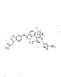 Cc1nc(-c2cc(C)c(-c3c(C(F)(F)F)ccc4c3CC[C@H]4Oc3ccc4c(c3)OCC4CC(=O)O)c(C)c2)no1